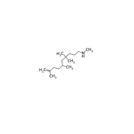 C=C(C)CCC(C)CC(C)(C)CCCNC